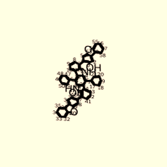 Oc1cc2c(cc1-c1cccc3c1[nH]c1c(-c4ccccc4)c4c([nH]c5c(-c6cc7oc8ccccc8c7cc6O)cccc54)c(-c4ccccc4)c13)oc1ccccc12